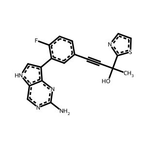 CC(O)(C#Cc1ccc(F)c(-c2c[nH]c3cnc(N)nc23)c1)c1nccs1